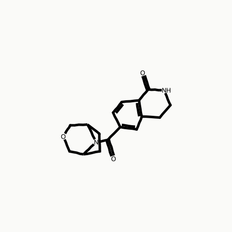 O=C1NCCc2cc(C(=O)N3C4CCC3COC4)ccc21